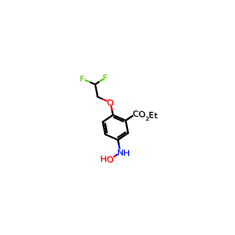 CCOC(=O)c1cc(NO)ccc1OCC(F)F